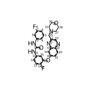 O=C(Nc1cccc(F)c1)Nc1ccc(F)c(Oc2ccc3ncc(CN4CCOCC4)nc3c2)c1